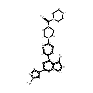 Cn1cc(-c2cc(-c3ccc(N4CCN(C(=O)N5CCOCC5)CC4)nc3)c3c(C#N)cnn3c2)cn1